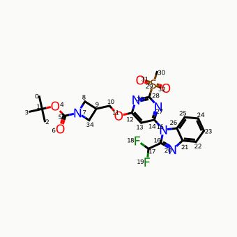 CC(C)(C)OC(=O)N1CC(COc2cc(-n3c(C(F)F)nc4ccccc43)nc(S(C)(=O)=O)n2)C1